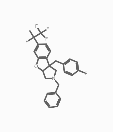 CC(F)(c1ccc2c(c1)OC1CN(Cc3ccccc3)CC21Cc1ccc(F)cc1)C(F)(F)F